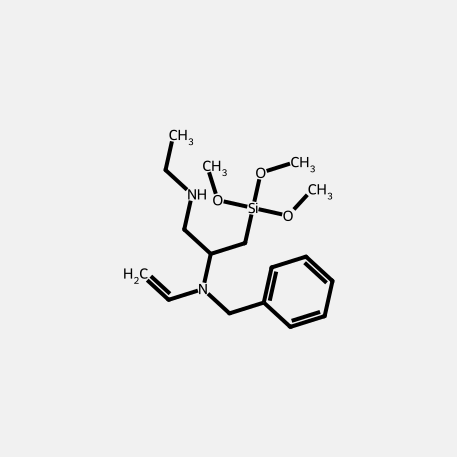 C=CN(Cc1ccccc1)C(CNCC)C[Si](OC)(OC)OC